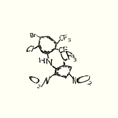 O=[N+]([O-])c1cc([N+](=O)[O-])c(Nc2c(Cl)c(Br)cc(C(F)(F)F)c2C(F)(F)F)c(C(F)(F)F)c1